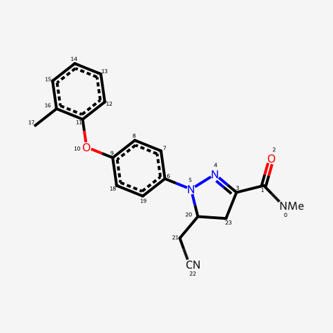 CNC(=O)C1=NN(c2ccc(Oc3ccccc3C)cc2)C(CC#N)C1